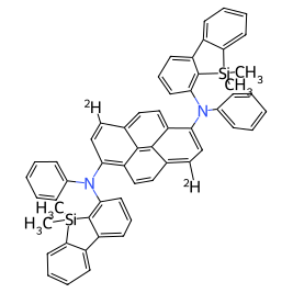 [2H]c1cc(N(c2ccccc2)c2cccc3c2[Si](C)(C)c2ccccc2-3)c2ccc3c([2H])cc(N(c4ccccc4)c4cccc5c4[Si](C)(C)c4ccccc4-5)c4ccc1c2c34